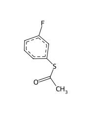 CC(=O)Sc1cccc(F)c1